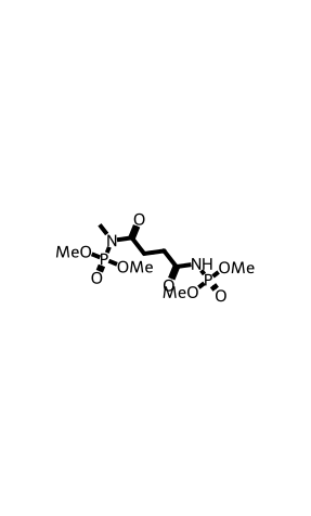 COP(=O)(NC(=O)CCC(=O)N(C)P(=O)(OC)OC)OC